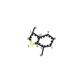 Cc1csc2c(C)cccc12